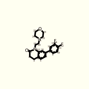 O=C1CCc2ccc(-c3ccc(F)c(F)c3)cc2N1CCN1CCOCC1